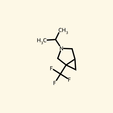 CC(C)N1CC2CC2(C(F)(F)F)C1